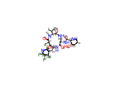 CC(C)C(C)C1C(=O)N[C@H](C)[C@H](NC(=O)c2ncccc2O)C(=O)N[C@@H](Cc2c(F)nc(F)c(F)c2F)[C@@H](O)[C@@H](C)C(=O)N1C